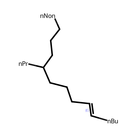 [CH2]CCC/C=C/CCCC(CCC)CCCCCCCCCCC[CH2]